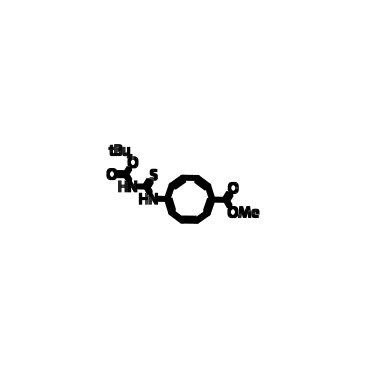 COC(=O)c1ccccc(NC(=S)NC(=O)OC(C)(C)C)cccc1